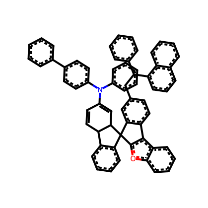 C1=CC2c3ccccc3C3(c4cc(CC(c5ccccc5)c5cccc6ccccc56)ccc4-c4c3oc3ccccc43)C2C=C1N(c1ccccc1)c1ccc(-c2ccccc2)cc1